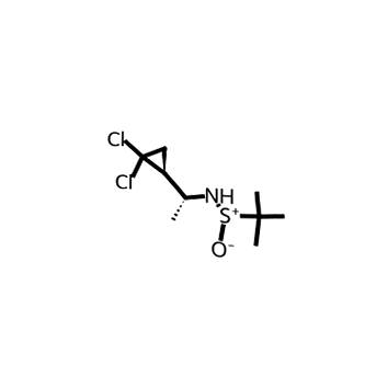 C[C@@H](N[S+]([O-])C(C)(C)C)[C@@H]1CC1(Cl)Cl